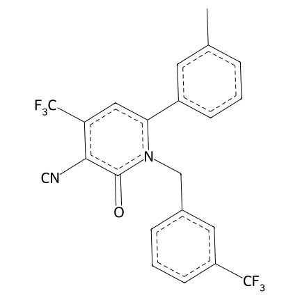 [C-]#[N+]c1c(C(F)(F)F)cc(-c2cccc(C)c2)n(Cc2cccc(C(F)(F)F)c2)c1=O